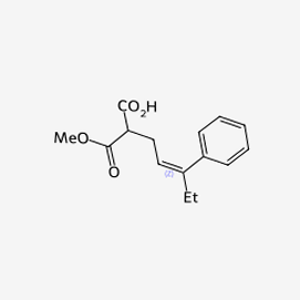 CC/C(=C/CC(C(=O)O)C(=O)OC)c1ccccc1